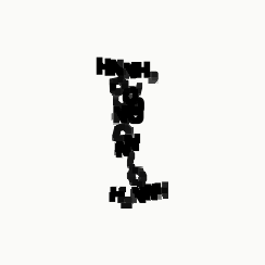 CCOC(=O)C(Cc1ccc(C(=N)N)cc1)N(C)C(=O)c1ccc2c(c1)nc(CCc1ccc(C(=N)N)cc1)n2C